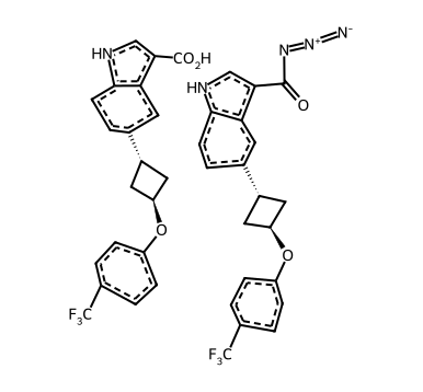 O=C(O)c1c[nH]c2ccc([C@H]3C[C@H](Oc4ccc(C(F)(F)F)cc4)C3)cc12.[N-]=[N+]=NC(=O)c1c[nH]c2ccc([C@H]3C[C@H](Oc4ccc(C(F)(F)F)cc4)C3)cc12